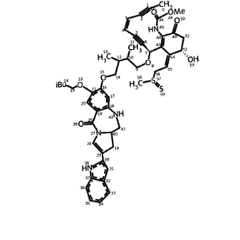 CC#C/C=C\C#C[C@H](OCC(C)C(C)COc1cc2c(cc1OCC(C)CC)C(=O)N1C=C(c3cc4ccccc4[nH]3)CC1CN2)C1=C(NC(=O)OC)C(=O)C[C@H](O)/C1=C/CS(C)=S